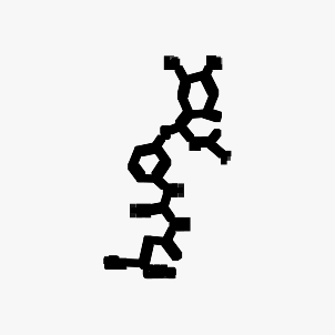 C=C(/C=C(\OC)C(C)(C)C)NC(=N)Nc1cccc(SC(/N=C(\C)F)=c2\cc(CC)c(CC)cc2=C)c1